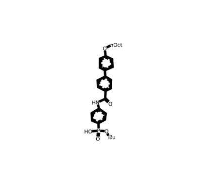 CCCCCCCCOc1ccc(-c2ccc(C(=O)Nc3ccc(P(=O)(O)OC(C)CC)cc3)cc2)cc1